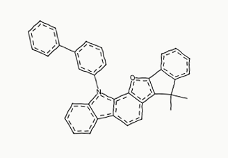 CC1(C)c2ccccc2-c2oc3c(ccc4c5ccccc5n(-c5cccc(-c6ccccc6)c5)c43)c21